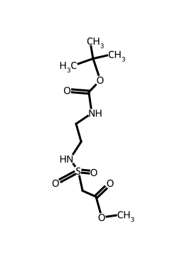 COC(=O)CS(=O)(=O)NCCNC(=O)OC(C)(C)C